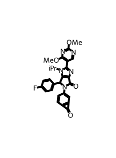 COc1ncc(-c2nc3c(n2C(C)C)C(c2ccc(F)cc2)N(c2ccc4c(=O)c4c2)C3=O)c(OC)n1